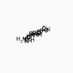 CC(C)(C)OC(=O)COc1ccc(NC(=O)NC(=O)c2ccc(C(=N)N)cc2)cc1